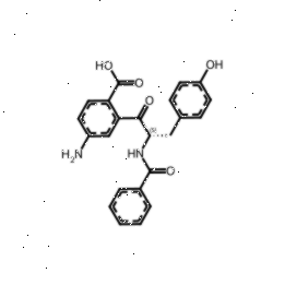 Nc1ccc(C(=O)O)c(C(=O)[C@H](Cc2ccc(O)cc2)NC(=O)c2ccccc2)c1